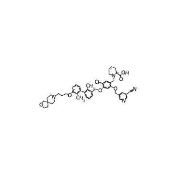 Cc1c(COc2cc(OCc3cncc(C#N)c3)c(CN3CCCC[C@H]3C(=O)O)cc2Cl)cccc1-c1cccc(OCCCN2CCC3(CCOC3)CC2)c1C